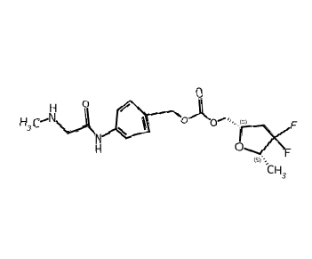 CNCC(=O)Nc1ccc(COC(=O)OC[C@@H]2CC(F)(F)[C@H](C)O2)cc1